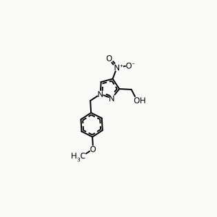 COc1ccc(Cn2cc([N+](=O)[O-])c(CO)n2)cc1